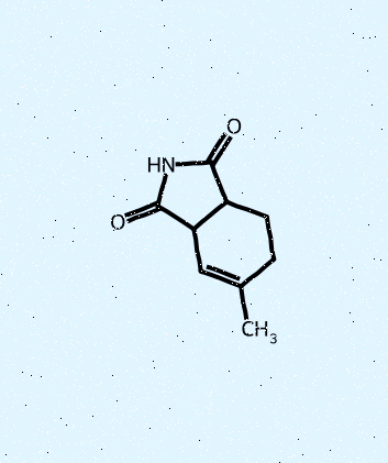 CC1=CC2C(=O)NC(=O)C2CC1